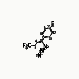 [N-]=[N+]=NC(=CCC(F)(F)F)c1ccc(F)cc1